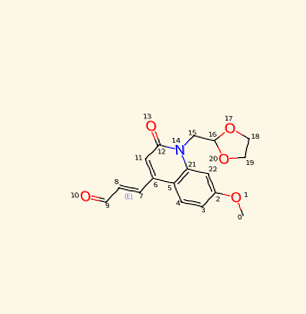 COc1ccc2c(/C=C/C=O)cc(=O)n(CC3OCCO3)c2c1